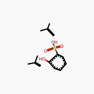 C=C(C)C.C=C(C)C.O=S(=O)(O)c1ccccc1O